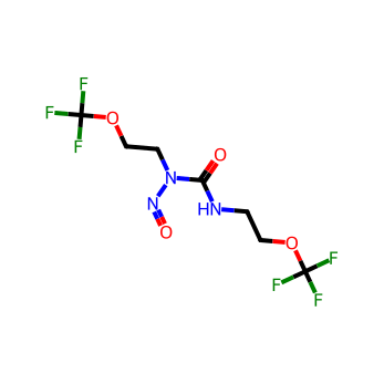 O=NN(CCOC(F)(F)F)C(=O)NCCOC(F)(F)F